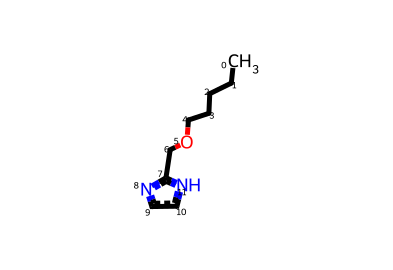 CCCCCOCc1ncc[nH]1